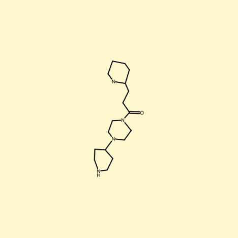 O=C(CCC1CCCC[N]1)N1CCN(C2CCNCC2)CC1